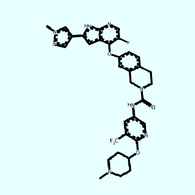 CN1CCC(Oc2ncc(NC(=O)N3CCc4ccc(Oc5c(F)cnc6[nH]c(-c7cnn(C)c7)cc56)cc4C3)cc2C(F)(F)F)CC1